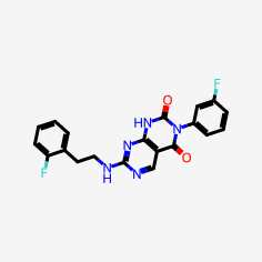 O=c1[nH]c2nc(NCCc3ccccc3F)ncc2c(=O)n1-c1cccc(F)c1